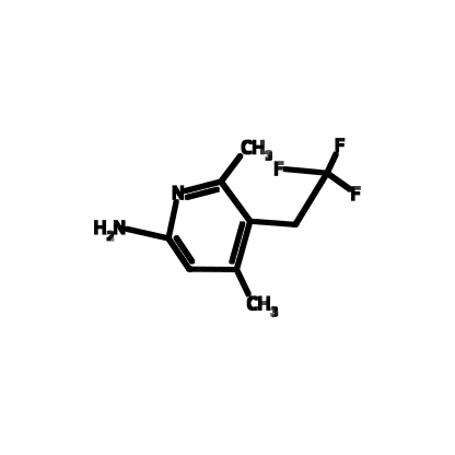 Cc1cc(N)nc(C)c1CC(F)(F)F